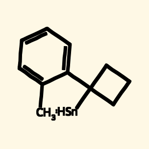 Cc1ccccc1[C]1([SnH])CCC1